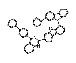 c1ccc(-c2ccc(-c3nc(-c4ccc5c(c4)oc4c(C6c7ccccc7-c7ccc(-c8ccccc8)cc76)cccc45)nc4ccccc34)cc2)cc1